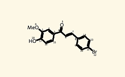 COc1cc(C(=O)C=Cc2ccc(Br)cc2)ccc1O